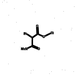 CCOC(=O)C(CC)C(=O)NC